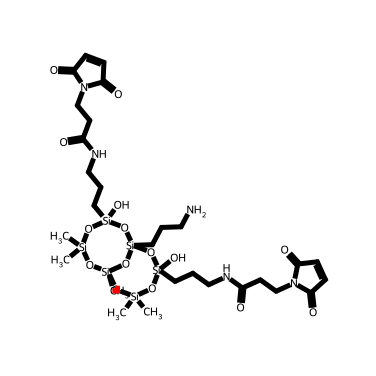 C[Si]1(C)O[Si](O)(CCCNC(=O)CCN2C(=O)C=CC2=O)O[Si]2(CCCN)O[Si](O)(CCCNC(=O)CCN3C(=O)C=CC3=O)O[Si](C)(C)O[Si](C)(O1)O2